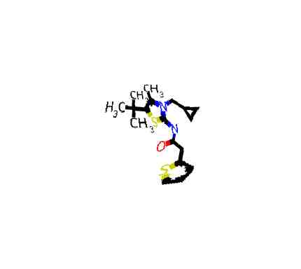 Cc1c(C(C)(C)C)s/c(=N\C(=O)Cc2cccs2)n1CC1CC1